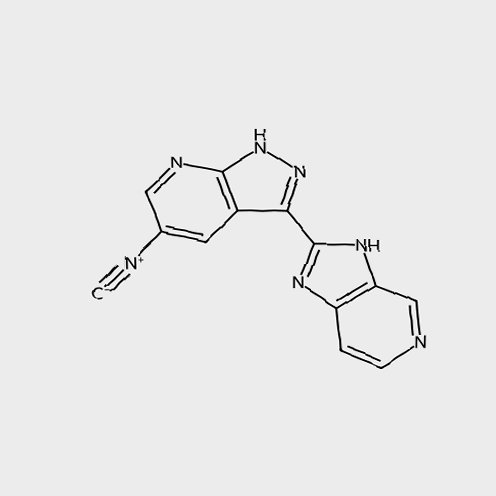 [C-]#[N+]c1cnc2[nH]nc(-c3nc4ccncc4[nH]3)c2c1